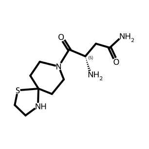 NC(=O)C[C@H](N)C(=O)N1CCC2(CC1)NCCS2